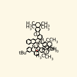 CC(C)(C)c1ccc(N2c3oc4cc5c(cc4c3B3c4c(cc6ccccc6c42)-c2c(ccc4c2oc2cc6c(cc24)C(C)(C)CCC6(C)C)N3c2ccc3c(c2)C(C)(C)CCC3(C)C)C(C)(C)CCC5(C)C)c(-c2ccccc2)c1